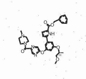 COC[C@H](C)Oc1cc(Oc2cnc(C(=O)N3CCN(C)CC3)cn2)cc(-c2ccc(C(=O)OCc3ccccc3)[nH]2)c1